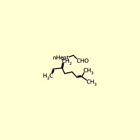 C=CC(=C)CCC=C(C)C.CCCCCCCCC=O